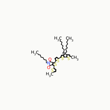 CCCCCCCCN1C(=O)c2c(-c3ccc(C)s3)sc(-c3ccc(-c4cc5c(s4)-c4sc(C)cc4[Si]5(CCCCCCCC)CCCCCCCC)s3)c2C1=O